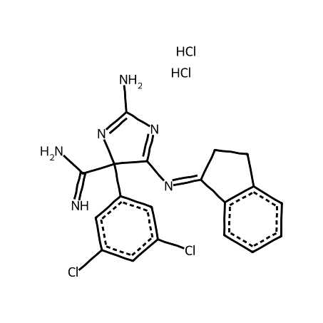 Cl.Cl.N=C(N)C1(c2cc(Cl)cc(Cl)c2)N=C(N)N=C1N=C1CCc2ccccc21